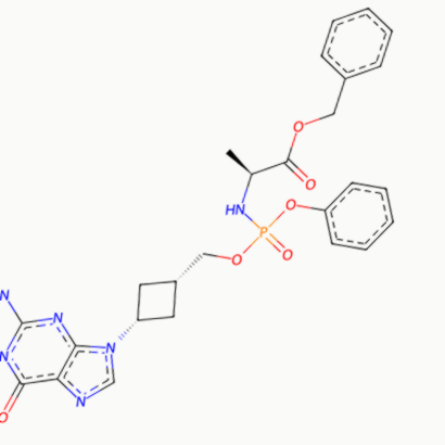 C[C@H](NP(=O)(OC[C@H]1C[C@@H](n2cnc3c(=O)[nH]c(N)nc32)C1)Oc1ccccc1)C(=O)OCc1ccccc1